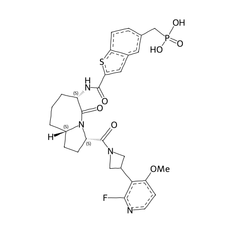 COc1ccnc(F)c1C1CN(C(=O)[C@@H]2CC[C@@H]3CCC[C@H](NC(=O)c4cc5cc(CP(=O)(O)O)ccc5s4)C(=O)N32)C1